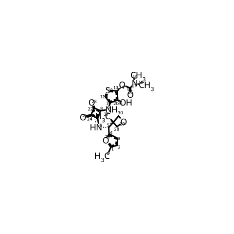 Cc1ccc([C@H](Nc2c(Nc3csc(OC(=O)N(C)C)c3O)c(=O)c2=O)C2(C)COC2)o1